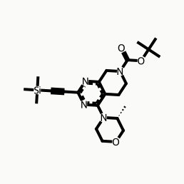 C[C@@H]1COCCN1c1nc(C#C[Si](C)(C)C)nc2c1CCN(C(=O)OC(C)(C)C)C2